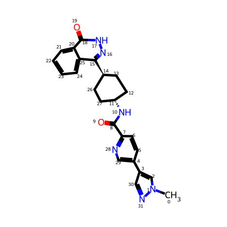 Cn1cc(-c2ccc(C(=O)N[C@H]3CC[C@H](c4n[nH]c(=O)c5ccccc54)CC3)nc2)cn1